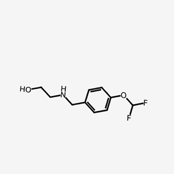 OCCNCc1ccc(OC(F)F)cc1